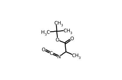 CC(N=C=O)C(=O)OC(C)(C)C